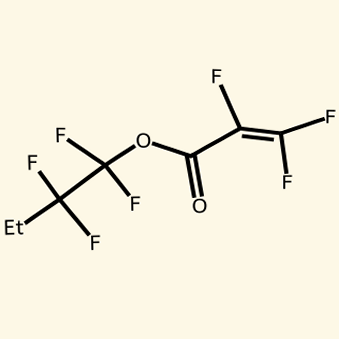 CCC(F)(F)C(F)(F)OC(=O)C(F)=C(F)F